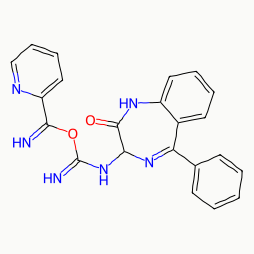 N=C(NC1N=C(c2ccccc2)c2ccccc2NC1=O)OC(=N)c1ccccn1